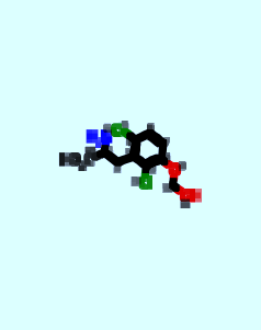 NC(Cc1c(Cl)ccc(OCO)c1Cl)C(=O)O